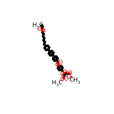 C=CC(=O)OCCCCCCCC1CCC(c2ccc(-c3ccc(C(=O)Oc4ccc(C5O[C@@H](C(=O)OCC)[C@H](C(=O)OCC)O5)cc4)cc3)cc2)CC1